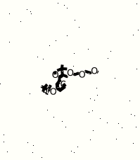 COCCOCCOCC(=C(OC)c1cccc(O[Si](C)(C)C(C)(C)C)c1)C(C)(C)C